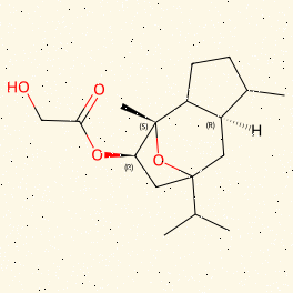 CC1CCC2[C@@H]1CC1(C(C)C)C[C@@H](OC(=O)CO)[C@@]2(C)O1